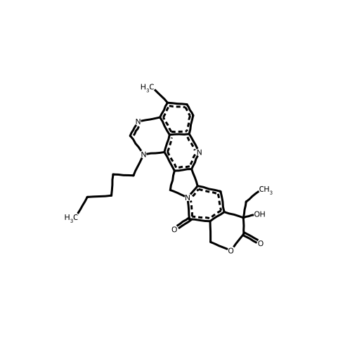 CCCCCN1C=Nc2c(C)ccc3nc4c(c1c23)Cn1c-4cc2c(c1=O)COC(=O)C2(O)CC